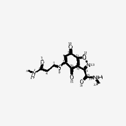 CNC(=O)CCSC1=CC(=O)c2onc(C(=O)NC)c2C1=O